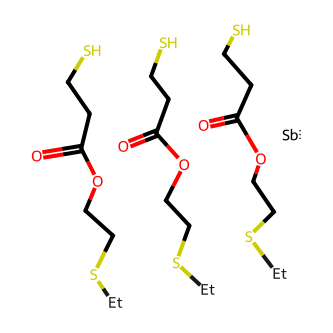 CCSCCOC(=O)CCS.CCSCCOC(=O)CCS.CCSCCOC(=O)CCS.[Sb]